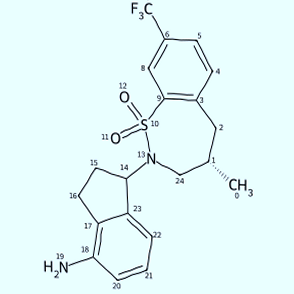 C[C@H]1Cc2ccc(C(F)(F)F)cc2S(=O)(=O)N(C2CCc3c(N)cccc32)C1